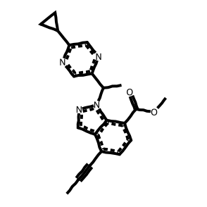 CC#Cc1ccc(C(=O)OC)c2c1cnn2C(C)c1cnc(C2CC2)cn1